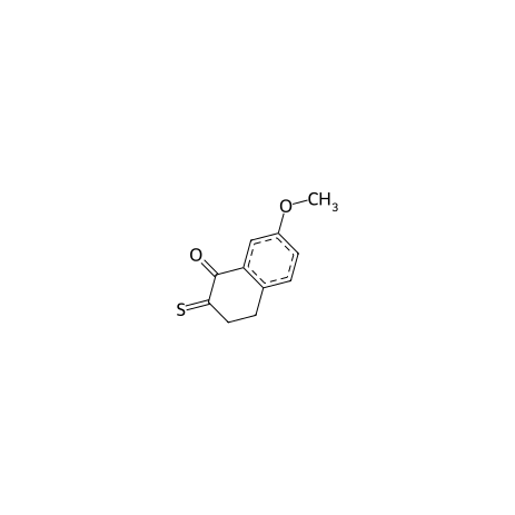 COc1ccc2c(c1)C(=O)C(=S)CC2